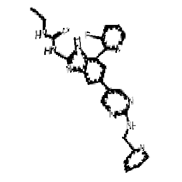 CCNC(=O)Nc1nc2cc(-c3cnc(NCc4ccccn4)nc3)cc(-c3ncccc3F)c2[nH]1